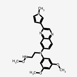 CONCCN(c1cc(OC)cc(OC)c1)c1ccc2ncc(-c3ccn(C)c3)nc2c1